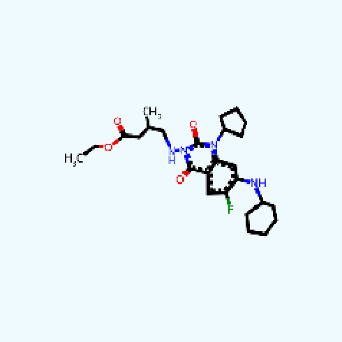 CCOC(=O)CC(C)CNn1c(=O)c2cc(F)c(NC3CCCCC3)cc2n(C2CCCC2)c1=O